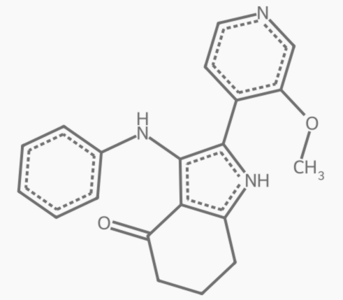 COc1cnccc1-c1[nH]c2c(c1Nc1ccccc1)C(=O)CCC2